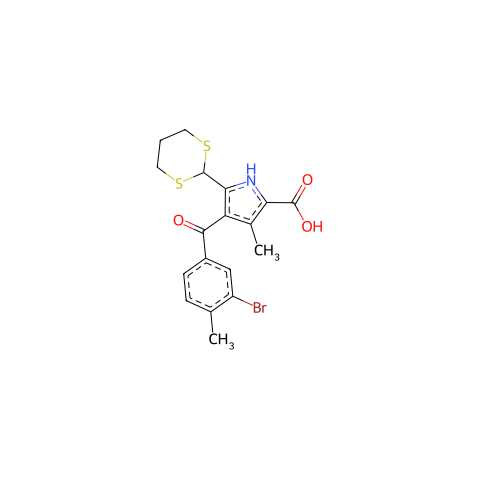 Cc1ccc(C(=O)c2c(C3SCCCS3)[nH]c(C(=O)O)c2C)cc1Br